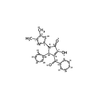 Cc1nc(N2C(=O)C(O)=C(C(=O)c3ccccc3)C2c2cccs2)sc1C